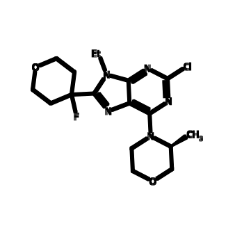 CCn1c(C2(F)CCOCC2)nc2c(N3CCOC[C@@H]3C)nc(Cl)nc21